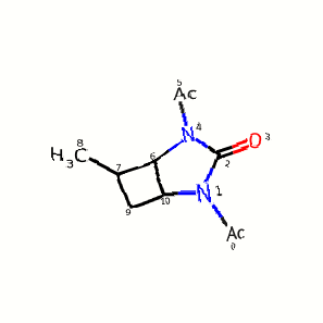 CC(=O)N1C(=O)N(C(C)=O)C2C(C)CC21